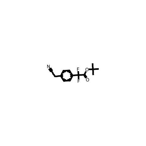 CC(C)(C)OC(=O)C(F)(F)c1ccc(CC#N)cc1